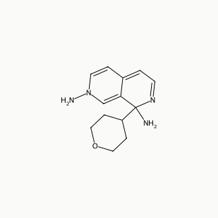 NN1C=CC2=CC=NC(N)(C3CCOCC3)C2=C1